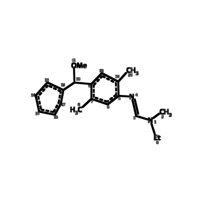 CCN(C)C=Nc1cc(C)c(C(OC)c2ccccc2)cc1C